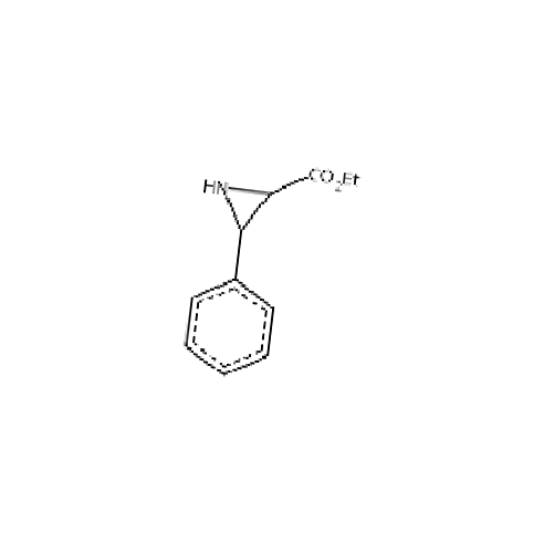 CCOC(=O)C1NC1c1ccccc1